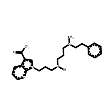 CCN(CCCN(C)CCc1ccccc1)CCCn1cc(C(=O)C(F)(F)F)c2cccnc21